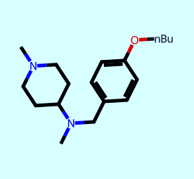 CCCCOc1ccc(CN(C)C2CCN(C)CC2)cc1